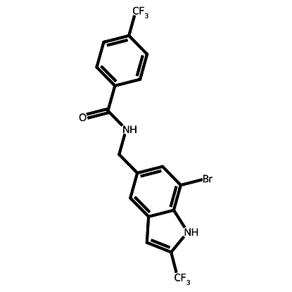 O=C(NCc1cc(Br)c2[nH]c(C(F)(F)F)cc2c1)c1ccc(C(F)(F)F)cc1